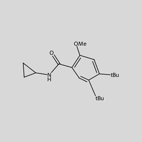 COc1cc(C(C)(C)C)c(C(C)(C)C)cc1C(=O)NC1CC1